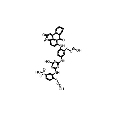 Cn1c(=O)cc2c3c(c(Nc4ccc(Nc5nc(O)nc(Nc6cc(S(=O)(=O)O)ccc6SOOO)n5)cc4SOOO)ccc31)C(=O)c1ccccc1-2